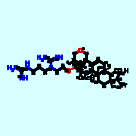 CC(=O)O[C@@H]1C[C@@]23COC[C@](C)([C@@H]2CC[C@H]2C3=CC[C@@]3(C)[C@H](C(=O)O)[C@@](C)([C@H](C)C(C)C)CC[C@]23C)[C@H]1OCCN(CCCNC(=N)N)C(=N)N